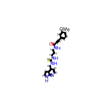 COc1cccc(C#CC(=O)NCCCNC(=S)NCc2ccnc3[nH]ccc23)c1